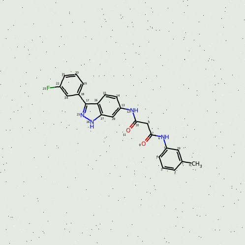 Cc1cccc(NC(=O)CC(=O)Nc2ccc3c(-c4cccc(F)c4)n[nH]c3c2)c1